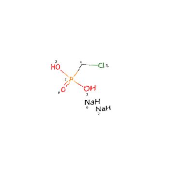 O=P(O)(O)CCl.[NaH].[NaH]